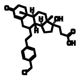 C[C@]12CCC(=O)C=C1CC(CCc1ccc(CCl)cc1)[C@@H]1[C@@H]2CC[C@@]2(C)[C@H]1CC[C@]2(O)CCC(=O)O